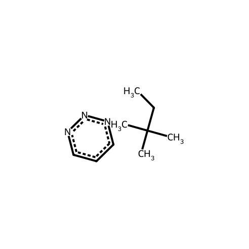 CCC(C)(C)C.c1cnnnc1